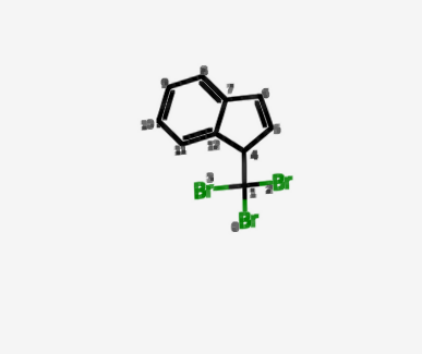 BrC(Br)(Br)C1C=Cc2cc[c]cc21